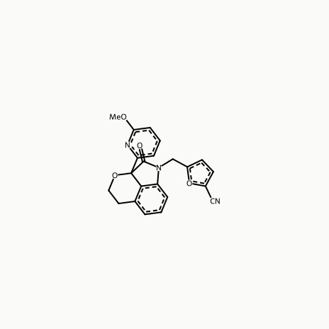 COc1cccc(C23OCCc4cccc(c42)N(Cc2ccc(C#N)o2)C3=O)n1